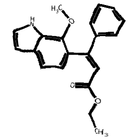 CCOC(=O)/C=C(/c1ccccc1)c1ccc2cc[nH]c2c1OC